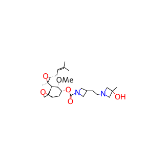 CO[C@@H]1[C@H](OC(=O)N2CC(CCN3CC(C)(O)C3)C2)CC[C@]2(CO2)[C@H]1[C@@]1(C)O[C@@H]1CC=C(C)C